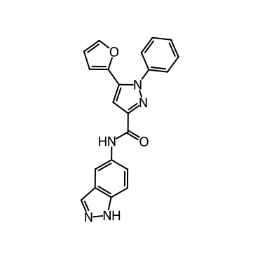 O=C(Nc1ccc2[nH]ncc2c1)c1cc(-c2ccco2)n(-c2ccccc2)n1